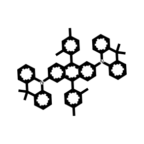 Cc1ccc(-c2c3ccc(N4c5ccccc5C(C)(C)c5ccccc54)cc3c(-c3ccc(C)cc3C)c3ccc(N4c5ccccc5C(C)(C)c5ccccc54)cc23)c(C)c1